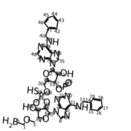 BCOC[C@H]1O[C@@H](n2cnc3c(NCc4ccccc4)ncnc32)[C@H](OP(=O)(S)OC[C@H]2O[C@@H](n3cnc4c(NCc5ccccc5)ncnc43)[C@H](O)[C@@H]2OP=O)[C@@H]1O